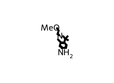 COCCN1Cc2cc(N)ccc2C(C)(C)C1